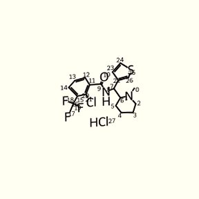 CN1CCCCC1C(NC(=O)c1cccc(C(F)(F)F)c1Cl)c1ccsc1.Cl